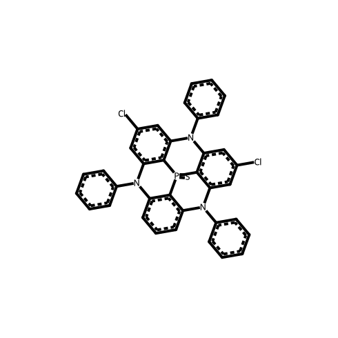 S=P12c3c4cccc3N(c3ccccc3)c3cc(Cl)cc(c31)N(c1ccccc1)c1cc(Cl)cc(c12)N4c1ccccc1